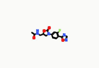 CC(=O)NCC1CN(c2ccc(-c3ncno3)c(F)c2)C(=O)O1